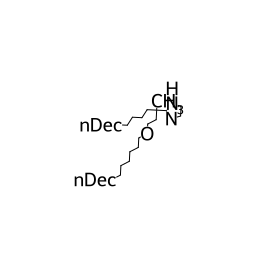 CCCCCCCCCCCCCCCCOCCC(C)(CCCCCCCCCCCCCC)C1=NCCN1